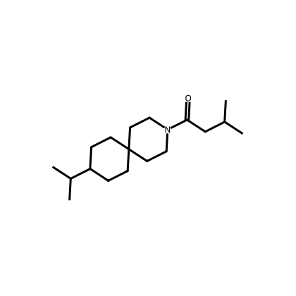 CC(C)CC(=O)N1CCC2(CCC(C(C)C)CC2)CC1